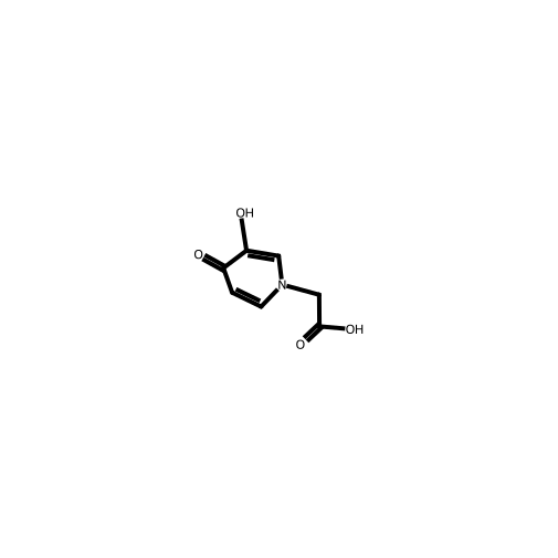 O=C(O)Cn1ccc(=O)c(O)c1